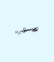 C1CCOC1.CCOC(=O)CCC[CH2][Zn][Br]